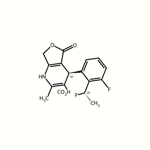 CC1=C(C(=O)O)[C@H](c2cccc(F)c2[C@H](C)F)C2=C(COC2=O)N1